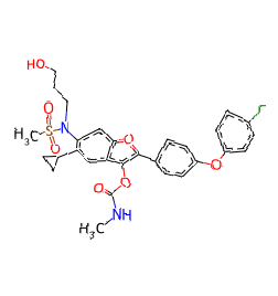 CNC(=O)Oc1c(-c2ccc(Oc3ccc(F)cc3)cc2)oc2cc(N(CCCO)S(C)(=O)=O)c(C3CC3)cc12